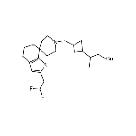 CC(CC(C)(C)C)C1CC(CN2CCC3(CCCc4cc(CC(F)F)sc43)CC2)C1